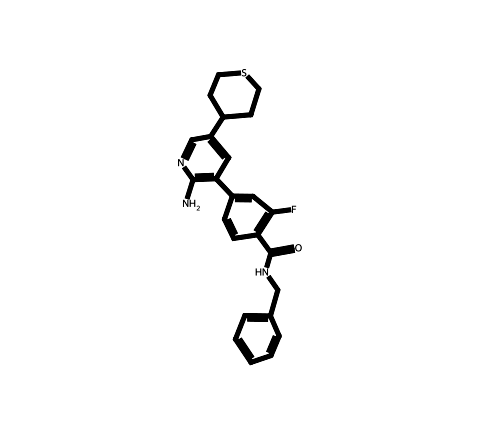 Nc1ncc(C2CCSCC2)cc1-c1ccc(C(=O)NCc2ccccc2)c(F)c1